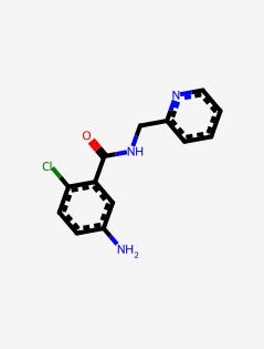 Nc1ccc(Cl)c(C(=O)NCc2ccccn2)c1